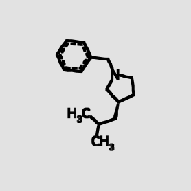 CC(C)C[C@@H]1CCN(Cc2ccccc2)C1